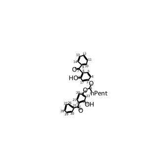 CCCCCC(Oc1ccc(C(=O)c2ccccc2)c(O)c1)Oc1ccc(C(=O)c2ccccc2)c(O)c1